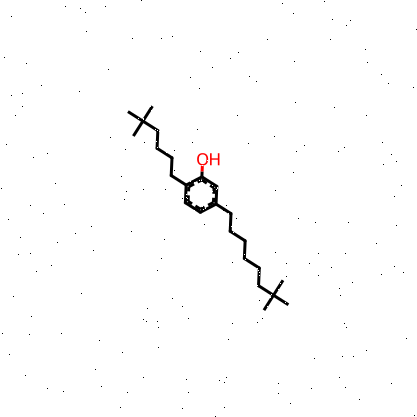 CC(C)(C)CCCCCCc1ccc(CCCCC(C)(C)C)c(O)c1